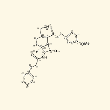 COc1ccc(COC(=O)C2=C(CO)CS[C@@H]3C(NC(=O)COc4ccccc4)C(=O)N23)cc1